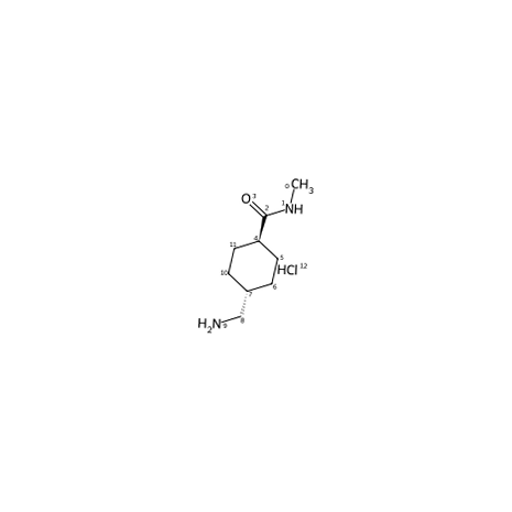 CNC(=O)[C@H]1CC[C@H](CN)CC1.Cl